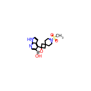 CS(=O)(=O)N1CCC2(CC1)CC1(C2)OB(O)c2cnc3[nH]ccc3c21